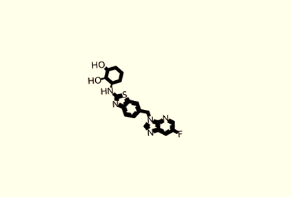 OC1CCC[C@@H](Nc2nc3ccc(Cn4cnc5cc(F)cnc54)cc3s2)[C@H]1O